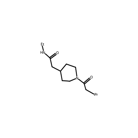 CCNC(=O)CC1CCN(C(=O)CC(C)C)CC1